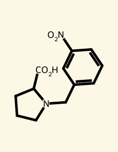 O=C(O)C1CCCN1Cc1cccc([N+](=O)[O-])c1